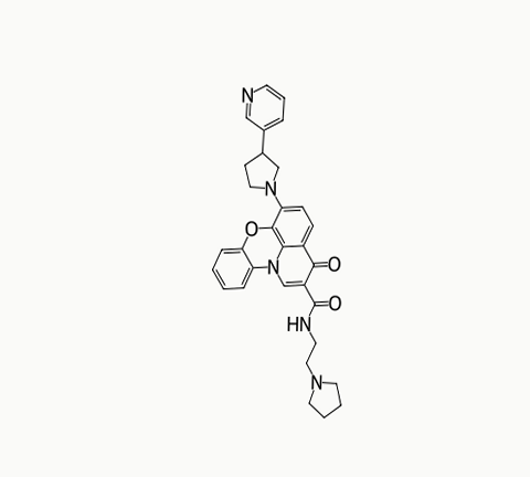 O=C(NCCN1CCCC1)c1cn2c3c(c(N4CCC(c5cccnc5)C4)ccc3c1=O)Oc1ccccc1-2